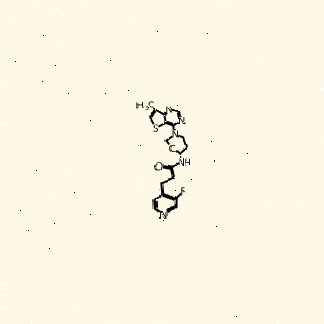 Cc1csc2c(N3CCC(NC(=O)CCc4ccncc4F)CC3)ncnc12